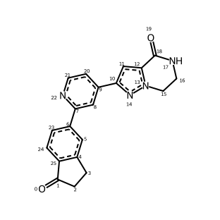 O=C1CCc2cc(-c3cc(-c4cc5n(n4)CCNC5=O)ccn3)ccc21